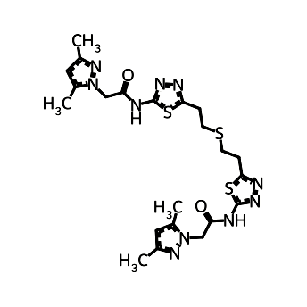 Cc1cc(C)n(CC(=O)Nc2nnc(CCSCCc3nnc(NC(=O)Cn4nc(C)cc4C)s3)s2)n1